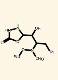 CC(C)CC(C(O)C1NNC(=O)O1)N(C=O)OC(C)(C)C